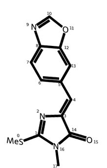 CSC1=N/C(=C\c2ccc3ncoc3c2)C(=O)N1C